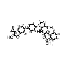 Cc1ncn(-c2ccc(-c3ccc(C4(C(=O)O)CC4)cc3)cc2)c1NC(=O)O[C@H](C)c1ccccc1